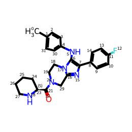 Cc1ccc(Nc2c(-c3ccc(F)cc3)nc3n2CCN(C(=O)[C@@H]2CCCCN2)C3)cc1